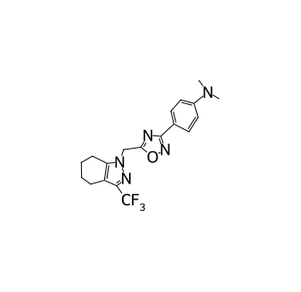 CN(C)c1ccc(-c2noc(Cn3nc(C(F)(F)F)c4c3CCCC4)n2)cc1